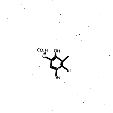 CCCc1cc(OC(=O)O)c(O)c(C)c1CC